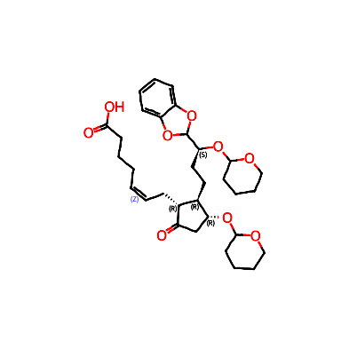 O=C(O)CCC/C=C\C[C@H]1C(=O)C[C@@H](OC2CCCCO2)[C@@H]1CC[C@H](OC1CCCCO1)C1Oc2ccccc2O1